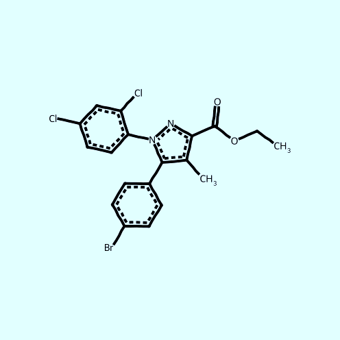 CCOC(=O)c1nn(-c2ccc(Cl)cc2Cl)c(-c2ccc(Br)cc2)c1C